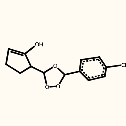 Cc1ccc(C2OOC(C3CCC=C3O)O2)cc1